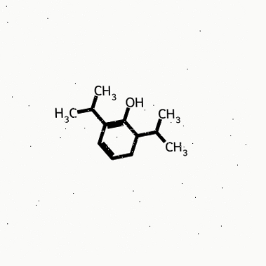 CC(C)C1=C(O)C(C(C)C)CC=C1